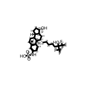 C=C[C@@]12CCc3cc(NS(=O)(=O)O)ccc3[C@H]1[C@@H](CCCCCC(O)(C(F)(F)F)C(F)(F)F)C[C@@]1(C)[C@H]2CC[C@@H]1O